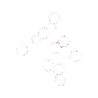 c1ccc(-c2nc3cc4c(oc5ccccc54)c(-c4ccc(N(c5ccccc5-c5ccccc5)c5cc6ccccc6c6ccccc56)cc4)c3o2)cc1